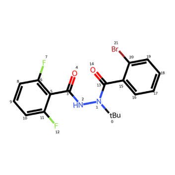 CC(C)(C)N(NC(=O)c1c(F)cccc1F)C(=O)c1ccccc1Br